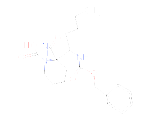 CCCCC(NC(=O)OCc1ccccc1)C1(C(N)=O)CCCCN1C(=O)O